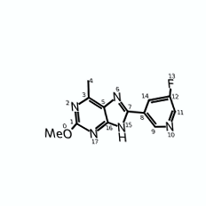 COc1nc(C)c2nc(-c3cncc(F)c3)[nH]c2n1